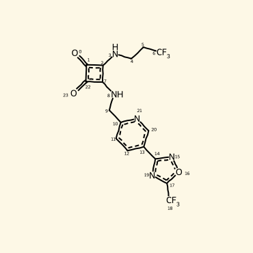 O=c1c(NCCC(F)(F)F)c(NCc2ccc(-c3noc(C(F)(F)F)n3)cn2)c1=O